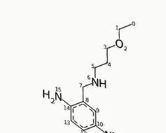 CCOCCCNCc1cc(N)ccc1N